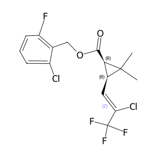 CC1(C)[C@H](C(=O)OCc2c(F)cccc2Cl)[C@@H]1/C=C(\Cl)C(F)(F)F